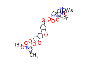 COC(=O)N[C@H](C(=O)N1[C@@H](C)CC[C@H]1C(=O)OCC(=O)c1ccc2c(c1)COc1cc3c(cc1-2)CCC(OC(=O)[C@@H]1C[C@H](C)CN1C(=O)OC(C)(C)C)C3=O)C(C)C